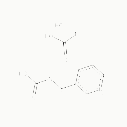 Cl.NC(O)=S.OC(=S)NCc1cccnc1